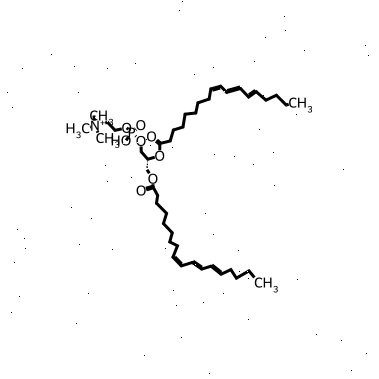 CCCC/C=C/C=C/C=C\CCCCCCCC(=O)OC[C@H](COP(=O)(O)OCC[N+](C)(C)C)OC(=O)CCCCCCC\C=C/C=C/C=C/CCCC